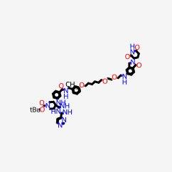 C[C@@H](NC(=O)c1cccc(NC2(C(=N)NC(=N)c3ccncn3)CCN(C(=O)OC(C)(C)C)CC2)c1)c1cccc(OCCCCCCOCCOCCNc2ccc3c(c2)CN(C2CCC(=O)NC2=O)C3=O)c1